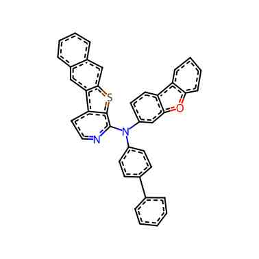 c1ccc(-c2ccc(N(c3ccc4c(c3)oc3ccccc34)c3nccc4c3sc3cc5ccccc5cc34)cc2)cc1